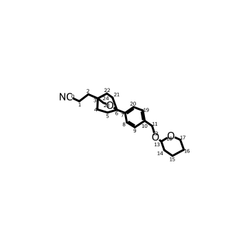 N#CCCC12CCC(c3ccc(COC4CCCCO4)cc3)(CC1)OC2